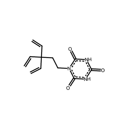 C=CC(C=C)(C=C)CCn1c(=O)[nH]c(=O)[nH]c1=O